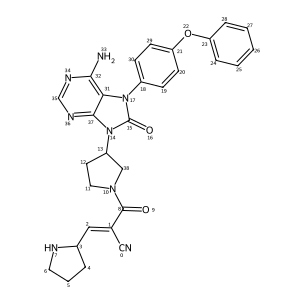 N#CC(=CC1CCCN1)C(=O)N1CCC(n2c(=O)n(-c3ccc(Oc4ccccc4)cc3)c3c(N)ncnc32)C1